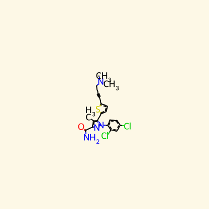 Cc1c(C(N)=O)nn(-c2ccc(Cl)cc2Cl)c1-c1ccc(C#CCN(C)C)s1